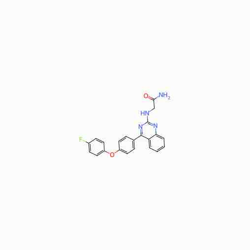 NC(=O)CNc1nc(-c2ccc(Oc3ccc(F)cc3)cc2)c2ccccc2n1